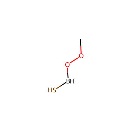 COOBS